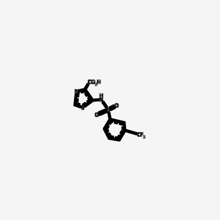 O=C(O)c1ncsc1NS(=O)(=O)c1cccc(C(F)(F)F)c1